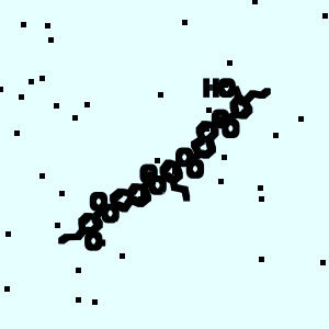 CCCc1ccc(C(=O)Oc2ccc3cc(C(=O)Oc4ccc(OC(=O)c5ccc6cc(OC(=O)c7ccc(CCC)c(OC)c7)ccc6c5)c(CCC)c4)ccc3c2)cc1CO